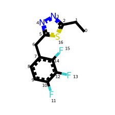 CCc1nnc(Cc2ccc(F)c(F)c2F)s1